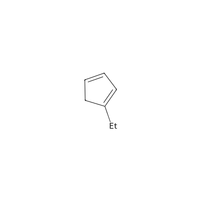 [CH2]CC1=CC=CC1